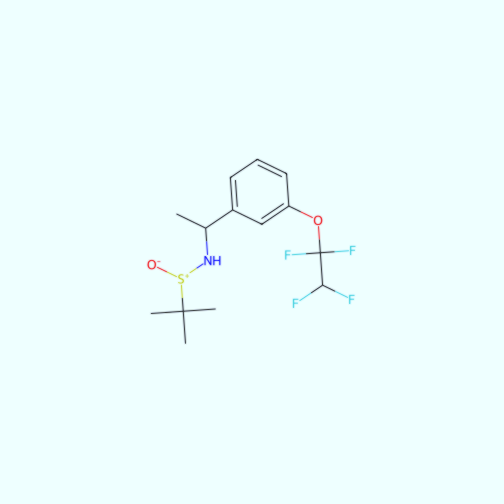 CC(N[S+]([O-])C(C)(C)C)c1cccc(OC(F)(F)C(F)F)c1